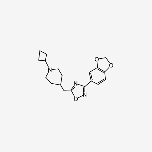 c1cc2c(cc1-c1noc(CC3CCN(C4CCC4)CC3)n1)OCO2